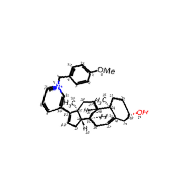 COc1ccc(C[n+]2cccc(C3=CC[C@H]4[C@@H]5CC=C6C[C@@H](O)CC[C@]6(C)[C@H]5CC[C@]34C)c2)cc1